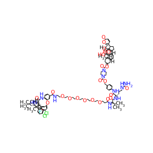 CC(C)[C@@H](NC(=O)CCOCCOCCOCCOCCOCCOCCNC(=O)c1ccc2c(c1)Oc1cc(Cl)c(F)c(c1)[C@H]1[C@@H](N[C@@H](CC(C)(C)C)[C@]1(C)c1ccc(Cl)cc1)C(=O)N2)C(=O)N[C@@H](CCCNC(N)=O)C(=O)Nc1ccc(COC(=O)N2CCN(C(=O)O[C@H]3CC[C@@]4(C)[C@H](CC[C@@H]5[C@@H]4[C@H](O)C(=O)[C@]4(C)C(c6ccc(=O)oc6)CC[C@]54O)C3)CC2)cc1